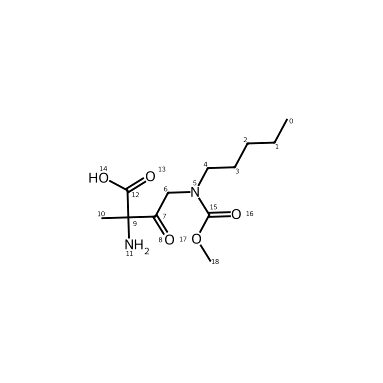 CCCCCN(CC(=O)C(C)(N)C(=O)O)C(=O)OC